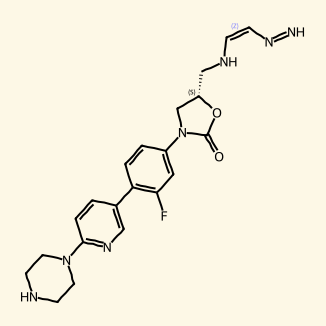 N=N/C=C\NC[C@H]1CN(c2ccc(-c3ccc(N4CCNCC4)nc3)c(F)c2)C(=O)O1